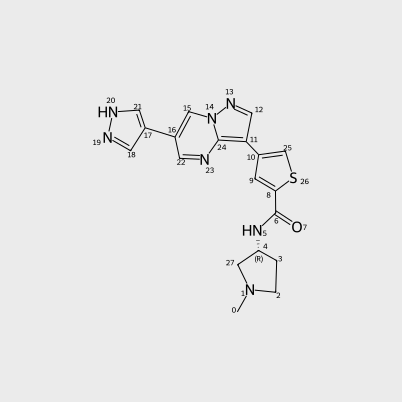 CN1CC[C@@H](NC(=O)c2cc(-c3cnn4cc(-c5cn[nH]c5)cnc34)cs2)C1